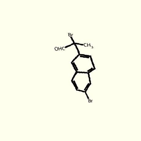 CC(Br)(C=O)c1ccc2cc(Br)ccc2c1